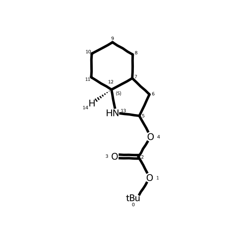 CC(C)(C)OC(=O)OC1CC2CCCC[C@@H]2N1